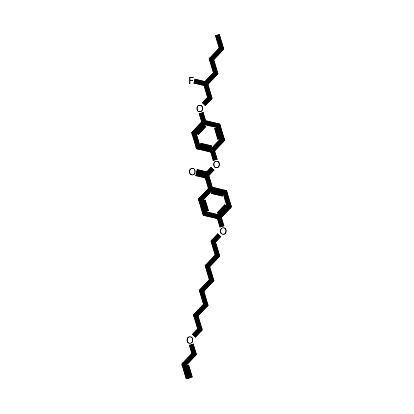 C=CCOCCCCCCCCOc1ccc(C(=O)Oc2ccc(OCC(F)CCCC)cc2)cc1